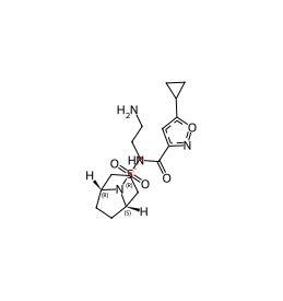 NCCCS(=O)(=O)N1[C@@H]2CC[C@H]1C[C@@H](NC(=O)c1cc(C3CC3)on1)C2